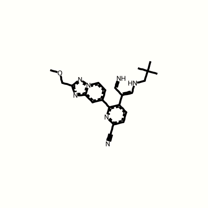 COCc1nc2cc(-c3nc(C#N)ccc3/C(C=N)=C/NCC(C)(C)C)ccn2n1